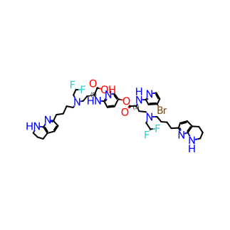 O=C(O)[C@H](CCN(CCCCc1ccc2c(n1)NCCC2)CC(F)F)Nc1ccc(OC(=O)[C@H](CCN(CCCCc2ccc3c(n2)NCCC3)CC(F)F)Nc2cc(Br)ccn2)cn1